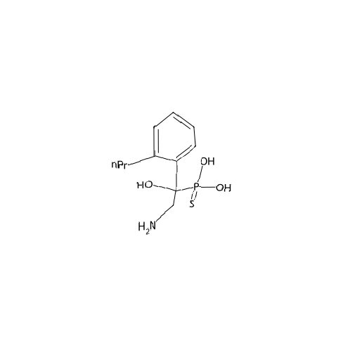 CCCc1ccccc1C(O)(CN)P(O)(O)=S